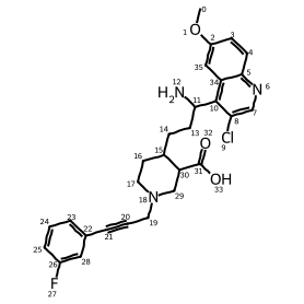 COc1ccc2ncc(Cl)c(C(N)CCC3CCN(CC#Cc4cccc(F)c4)CC3C(=O)O)c2c1